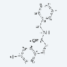 O=C(/C=C\c1ccc(I)cc1)NCc1ccccc1